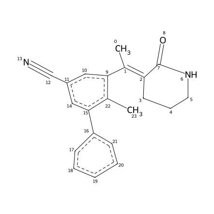 C/C(=C1/CCCNC1=O)c1cc(C#N)cc(-c2ccccc2)c1C